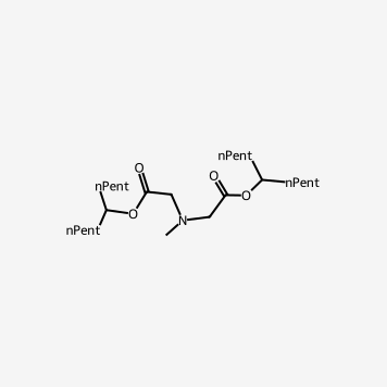 CCCCCC(CCCCC)OC(=O)CN(C)CC(=O)OC(CCCCC)CCCCC